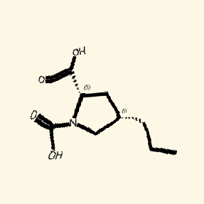 CCC[C@H]1C[C@@H](C(=O)O)N(C(=O)O)C1